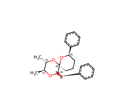 C[C@@H]1O[C@]2(CCC[C@H](c3ccccc3)O2)[C@@]2(CCC[C@H](c3ccccc3)O2)O[C@H]1C